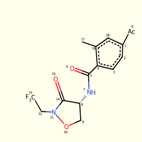 CC(=O)c1ccc(C(=O)N[C@@H]2CON(CC(F)(F)F)C2=O)c(C)c1